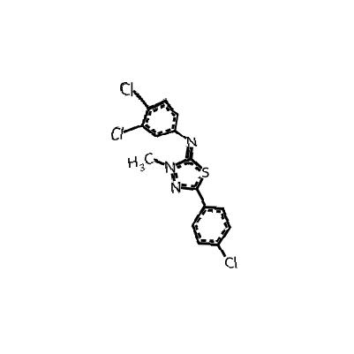 Cn1nc(-c2ccc(Cl)cc2)s/c1=N/c1ccc(Cl)c(Cl)c1